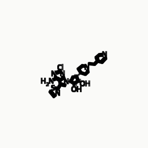 Nc1nc(Cl)nc2c1c(-c1nccs1)cn2[C@@H]1C[C@H](C2CCN(CCc3ccncc3)CC2)[C@@H](O)[C@H]1O